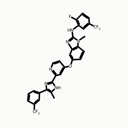 Cc1[nH]c(-c2cc(Oc3ccc4c(c3)nc(Nc3cc(C(F)(F)F)ccc3F)n4C)ccn2)nc1-c1cccc(C(F)(F)F)c1